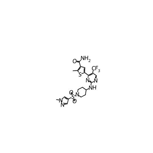 Cc1sc(-c2nc(NC3CCN(S(=O)(=O)c4cnn(C)c4)CC3)ncc2C(F)(F)F)cc1C(N)=O